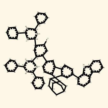 Fc1cc(-c2ccc3c(c2)-c2ccc(-c4cccc5c4sc4ccccc45)cc2C32C3CC4CC(C3)CC2C4)c(-c2nc(-c3ccccc3)nc(-c3ccccc3)n2)cc1-c1nc(-c2ccccc2)nc(-c2ccccc2)n1